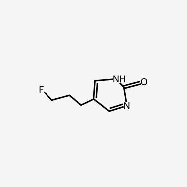 O=c1ncc(CCCF)c[nH]1